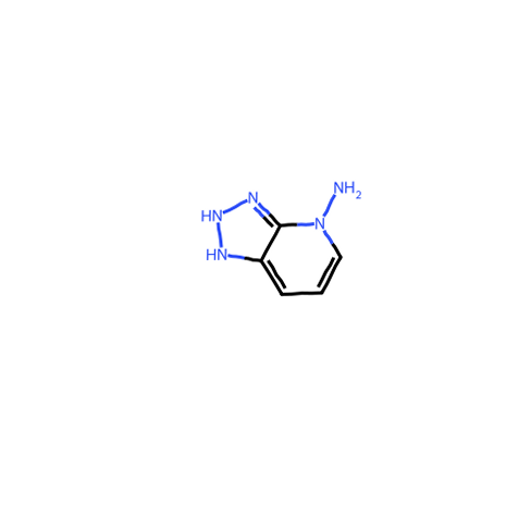 NN1C=CC=C2NNN=C21